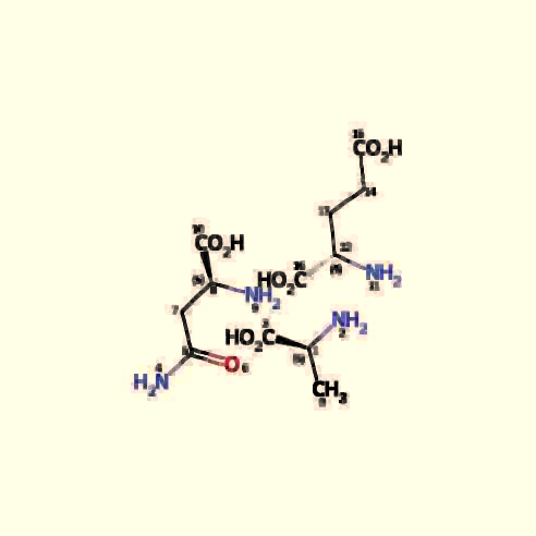 C[C@H](N)C(=O)O.NC(=O)C[C@H](N)C(=O)O.N[C@@H](CCC(=O)O)C(=O)O